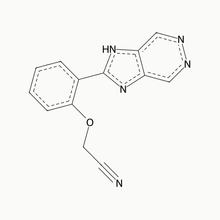 N#CCOc1ccccc1-c1nc2cnncc2[nH]1